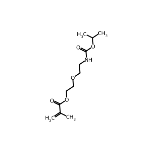 C=C(C)C(=O)OCCOCCNC(=O)OC(C)C